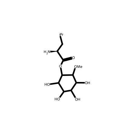 COC1C(O)C(O)C(O)C(O)C1OC(=O)[C@@H](N)CC(C)C